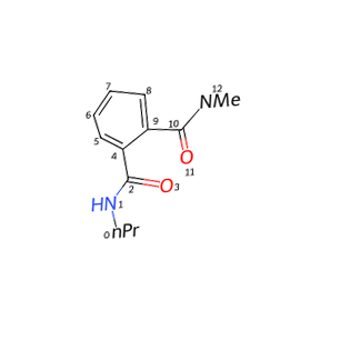 CCCNC(=O)c1ccccc1C(=O)NC